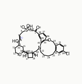 O=C1NS(=O)(=O)C/C=C/[C@]2(O)CCO[C@@H](C2)[C@@H]2CC[C@H]2CN2CCCCc3cc(Cl)ccc3COc3ccc1cc32